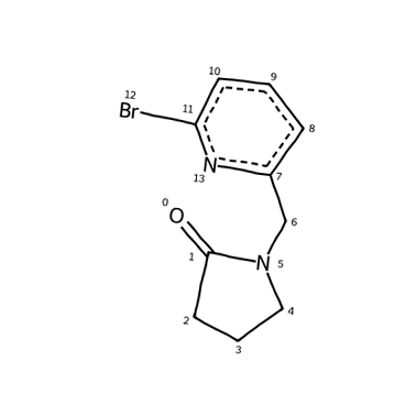 O=C1CCCN1Cc1cccc(Br)n1